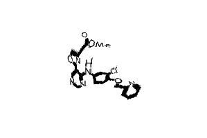 COC(=O)c1coc(-c2cncnc2Nc2ccc(OCc3ccccn3)c(Cl)c2)n1